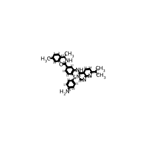 Cc1ccc([C@H](C)NC(=O)c2ccc(Sc3ccc(N)cc3)c(Nc3ncnc4nc(C(C)C)ccc34)c2)cc1